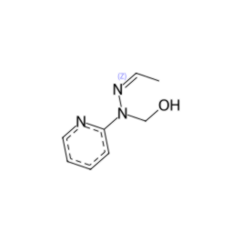 C/C=N\N(CO)c1ccccn1